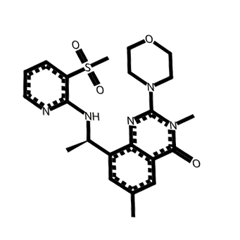 Cc1cc([C@@H](C)Nc2ncccc2S(C)(=O)=O)c2nc(N3CCOCC3)n(C)c(=O)c2c1